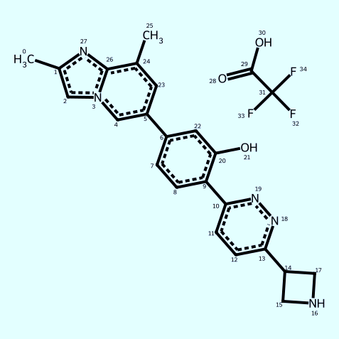 Cc1cn2cc(-c3ccc(-c4ccc(C5CNC5)nn4)c(O)c3)cc(C)c2n1.O=C(O)C(F)(F)F